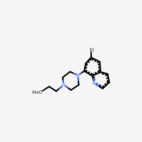 CCc1cc(N2CCN(CCOC)CC2)c2ncccc2c1